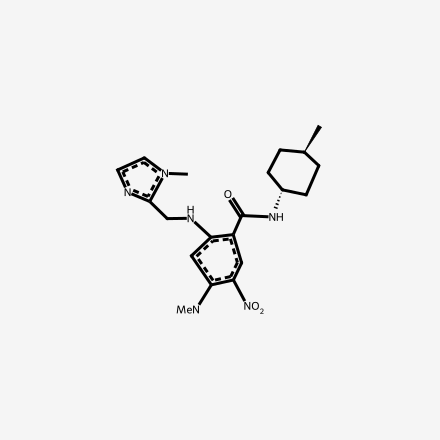 CNc1cc(NCc2nccn2C)c(C(=O)N[C@H]2CC[C@H](C)CC2)cc1[N+](=O)[O-]